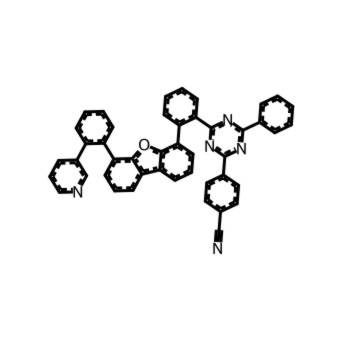 N#Cc1ccc(-c2nc(-c3ccccc3)nc(-c3ccccc3-c3cccc4c3oc3c(-c5ccccc5-c5cccnc5)cccc34)n2)cc1